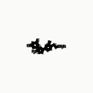 CCOC(=O)CSc1ccc(C2=CSC(c3cc(Cl)cc(Cl)c3)(C(F)(F)F)C2)cc1Br